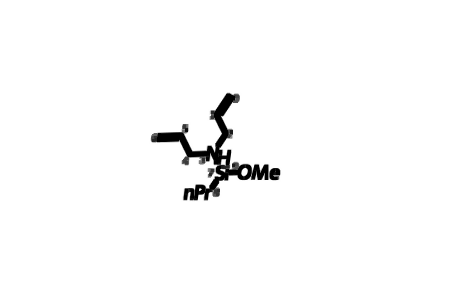 C=CCN(CC=C)[SiH](CCC)OC